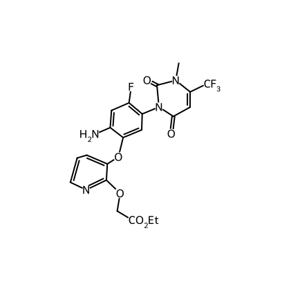 CCOC(=O)COc1ncccc1Oc1cc(-n2c(=O)cc(C(F)(F)F)n(C)c2=O)c(F)cc1N